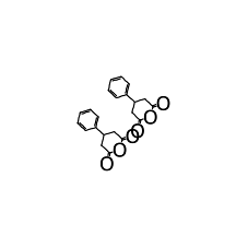 O=C1CC(c2ccccc2)CC(=O)O1.O=C1CC(c2ccccc2)CC(=O)O1